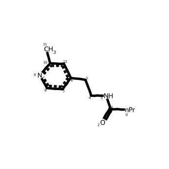 CCCC(=O)NCCc1ccnc(C)c1